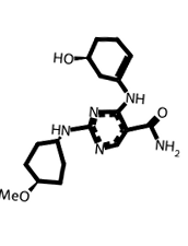 CO[C@H]1CC[C@H](Nc2ncc(C(N)=O)c(NC3=CCC[C@H](O)C3)n2)CC1